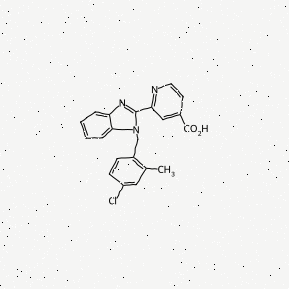 Cc1cc(Cl)ccc1Cn1c(-c2cc(C(=O)O)ccn2)nc2ccccc21